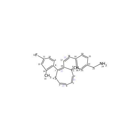 C=C1/C=C\C=C/S/C(c2ccc(F)cc2C)=C1/C=C\c1ccc(CN)cc1